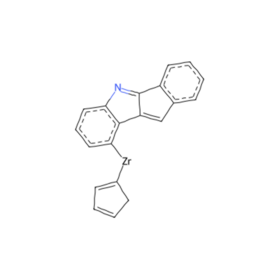 C1=CC[C]([Zr][c]2cccc3c2C2=Cc4ccccc4C2=N3)=C1